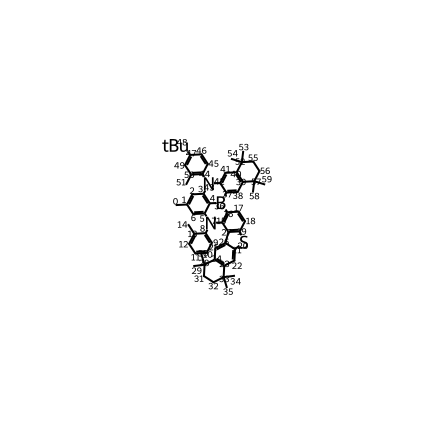 Cc1cc2c3c(c1)N(c1ccccc1C)c1c(ccc4sc5cc6c(cc5c14)C(C)(C)CCC6(C)C)B3c1cc3c(cc1N2c1ccc(C(C)(C)C)cc1C)C(C)(C)CCC3(C)C